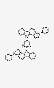 c1ccc(-n2ccc3c2ccc2c4ccccc4n(-c4cnc(-n5c6ccccc6c6ccc7c(ccn7-c7ccccc7)c65)nc4)c23)cc1